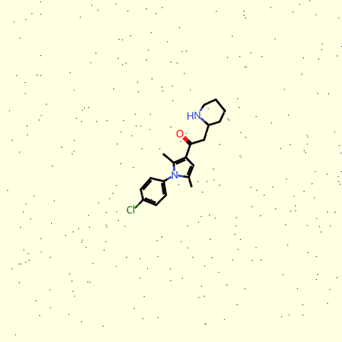 Cc1cc(C(=O)CC2CCCCN2)c(C)n1-c1ccc(Cl)cc1